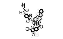 CNc1cc(Cl)nc2cc(C(=O)NCCCC(Cc3ccccc3)C(=O)N3CCC(O)(Cn4cnc5cc(NC(=O)CCN(C)C)ccc5c4=O)CC3)ccc12